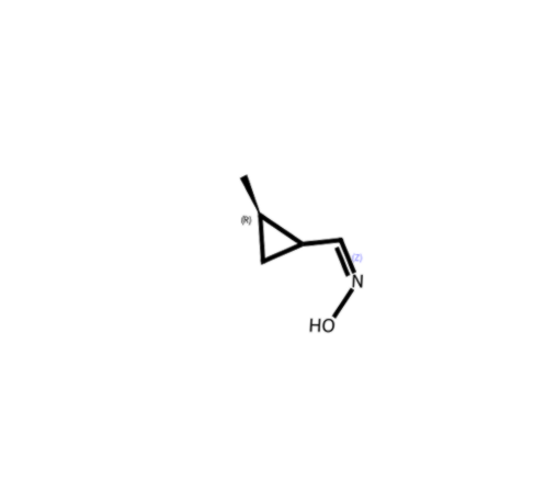 C[C@@H]1CC1/C=N\O